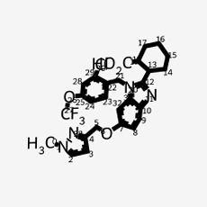 Cn1ccc(COc2ccc3nc(C4CCCCC4C(=O)O)n(Cc4ccc(OC(F)(F)F)cc4Cl)c3c2)n1